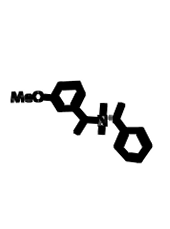 COc1cccc(C(C)[N+](C)(C)C(C)c2ccccc2)c1